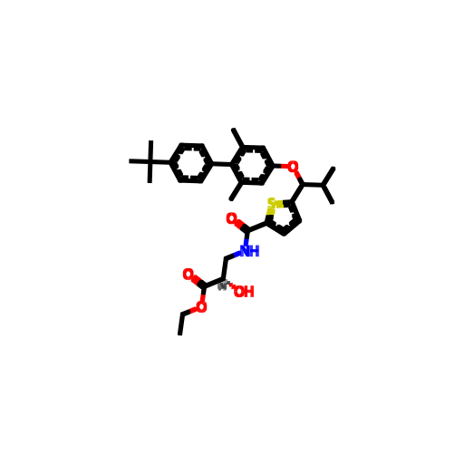 CCOC(=O)[C@@H](O)CNC(=O)c1ccc(C(Oc2cc(C)c(-c3ccc(C(C)(C)C)cc3)c(C)c2)C(C)C)s1